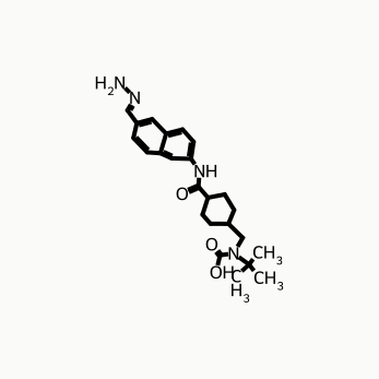 CC(C)(C)N(CC1CCC(C(=O)Nc2ccc3cc(C=NN)ccc3c2)CC1)C(=O)O